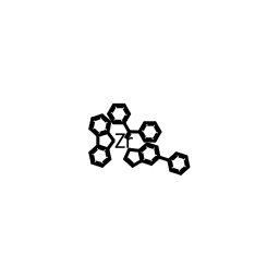 C1=C[CH]([Zr](=[C](c2ccccc2)c2ccccc2)[CH]2c3ccccc3-c3ccccc32)c2ccc(-c3ccccc3)cc21